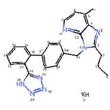 CCCc1nc2c(C)ccnc2n1Cc1ccc(-c2ccccc2-c2nnn[nH]2)cc1.[KH]